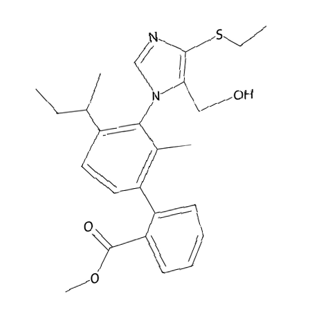 CCSc1ncn(-c2c(C(C)CC)ccc(-c3ccccc3C(=O)OC)c2C)c1CO